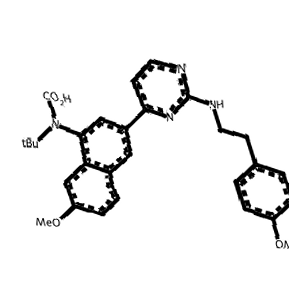 COc1ccc(CCNc2nccc(-c3cc(N(C(=O)O)C(C)(C)C)c4cc(OC)ccc4c3)n2)cc1